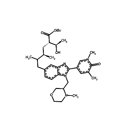 Cc1cc(-c2nc3cc(CC(C)[C@H](C)C[C@H](C(=O)OCC(C)C)[C@@H](C)O)ccc3n2CC2COCCN2C)cn(C)c1=O